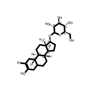 CCC1=C(O)CC2CC[C@@H]3[C@H](CC[C@]4(C)[C@@H](OC5O[C@H](CO)[C@@H](O)[C@H](O)[C@H]5O)CC[C@@H]34)[C@H]2C1